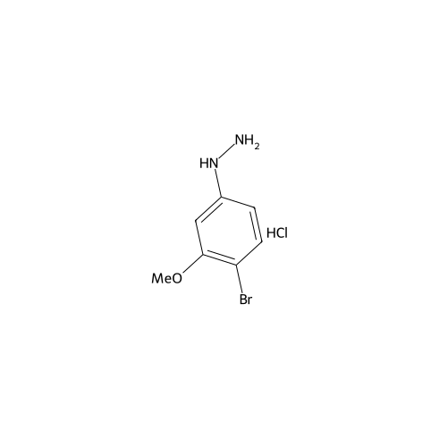 COc1cc(NN)ccc1Br.Cl